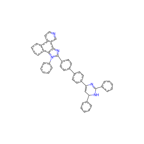 C1=C(c2ccc(-c3ccc(-c4nc5c6cnccc6c6ccccc6c5n4-c4ccccc4)cc3)cc2)N=C(c2ccccc2)NC1c1ccccc1